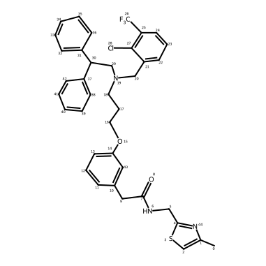 Cc1csc(CNC(=O)Cc2cccc(OCCCN(Cc3cccc(C(F)(F)F)c3Cl)CC(c3ccccc3)c3ccccc3)c2)n1